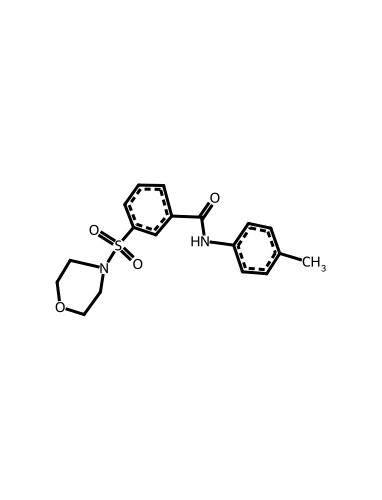 Cc1ccc(NC(=O)c2cccc(S(=O)(=O)N3CCOCC3)c2)cc1